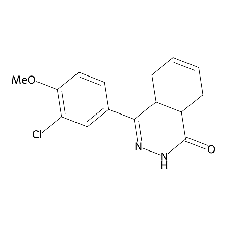 COc1ccc(C2=NNC(=O)C3CC=CCC23)cc1Cl